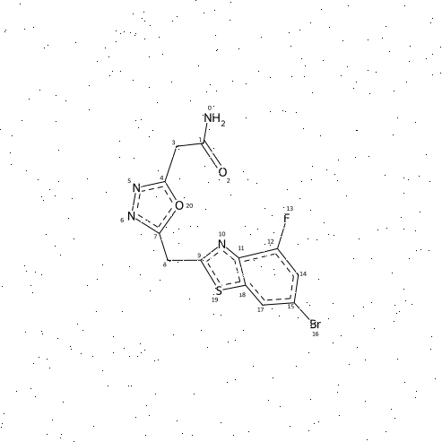 NC(=O)Cc1nnc(Cc2nc3c(F)cc(Br)cc3s2)o1